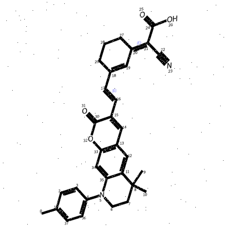 Cc1ccc(N2CCC(C)(C)c3cc4cc(/C=C/C5=CC(=C(\C#N)C(=O)O)/CCC5)c(=O)oc4cc32)cc1